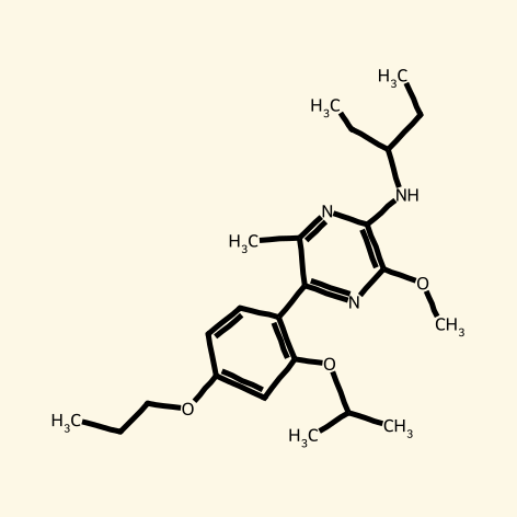 CCCOc1ccc(-c2nc(OC)c(NC(CC)CC)nc2C)c(OC(C)C)c1